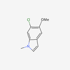 COc1cc2ccn(C)c2cc1Cl